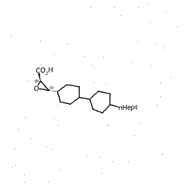 CCCCCCCC1CCC(C2CCC([C@@H]3O[C@H]3C(=O)O)CC2)CC1